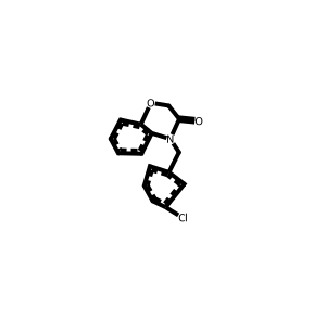 O=C1COc2ccccc2N1Cc1cccc(Cl)c1